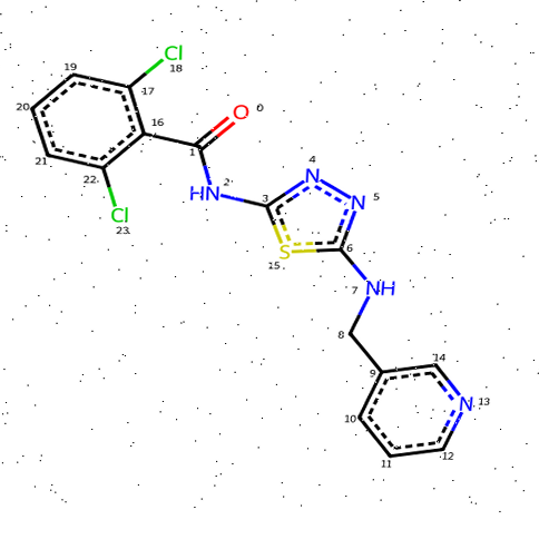 O=C(Nc1nnc(NCc2cccnc2)s1)c1c(Cl)cccc1Cl